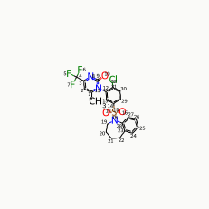 Cc1cc(C(F)(F)F)nc(=O)n1-c1cc(S(=O)(=O)N2CCCCc3ccccc32)ccc1Cl